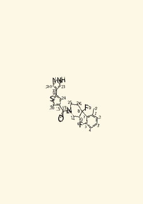 Cc1cccc(F)c1C1(F)CCN(C(=O)c2csc(-c3cn[nH]c3)c2)CC1